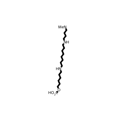 CNCCCCNCCCCCCCCNCCCCCCOC(=O)O